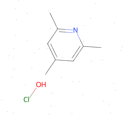 Cc1cc(C)nc(C)c1.OCl